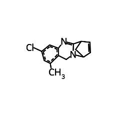 Cc1cc(Cl)cc2c1CN1C(=N2)C2C=CC1C2